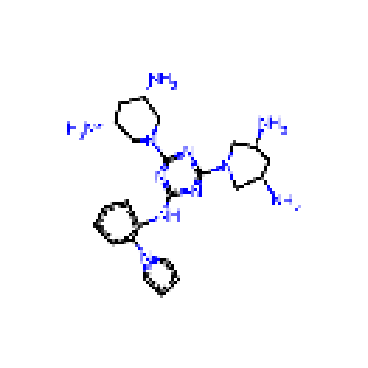 N[C@@H]1C[C@H](N)CN(c2nc(Nc3ccccc3-n3cccc3)nc(N3C[C@H](N)C[C@H](N)C3)n2)C1